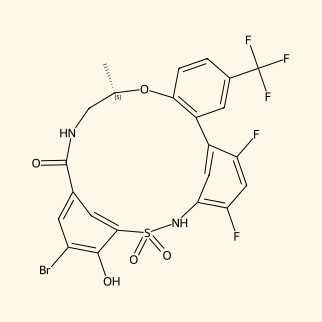 C[C@H]1CNC(=O)c2cc(Br)c(O)c(c2)S(=O)(=O)Nc2cc(c(F)cc2F)-c2cc(C(F)(F)F)ccc2O1